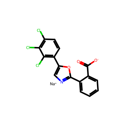 O=C([O-])c1ccccc1-c1ncc(-c2ccc(Cl)c(Cl)c2Cl)o1.[Na+]